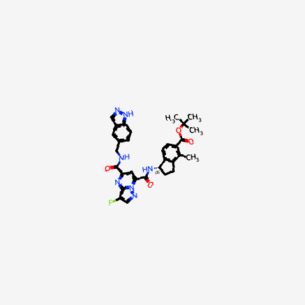 Cc1c(C(=O)OC(C)(C)C)ccc2c1CC[C@@H]2NC(=O)c1cc(C(=O)NCc2ccc3[nH]ncc3c2)nc2c(F)cnn12